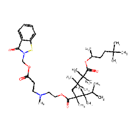 CC(CCC(C)(C)C)OC(=O)C(C)(C)C(C)(C)CC(C)(C(=O)OCCN(C)CCC(=O)OCn1sc2ccccc2c1=O)C(C)(C)C(C)C